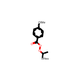 CCCCCC[C](C)OOC(=O)c1ccc(OC)cc1